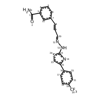 NC(=O)c1cccc(/C=C/C=NNc2nc(-c3ccc(C(F)(F)F)cc3)cs2)c1